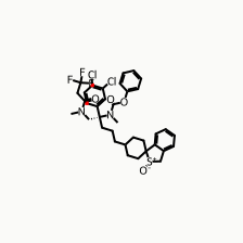 CN(C[C@](CCCC1CCC2(CC1)c1ccccc1C[S+]2[O-])(c1ccc(Cl)c(Cl)c1)N(C)C(=O)Oc1ccccc1)C(=O)CC(F)(F)F